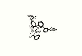 COc1cccc(-c2cccc([C@]34C[C@H](O[Si](C)(C)C(C)(C)C)C[C@H]3CSC(NC(=O)c3ccccc3)=N4)c2)c1